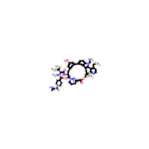 CCc1ccncc1-c1c2c3cc(ccc3n1CC)-c1cc(O)cc(c1)C[C@H](NC(=O)[C@H](C(C)C)N(C)C(=O)C1CCN(C(=O)[C@@H]3CN3)CC1)C(=O)N1CCC[C@H](N1)C(=O)OCC(C)(C)C2